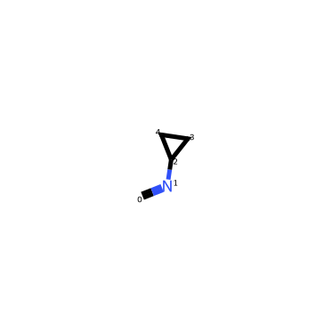 C=NC1CC1